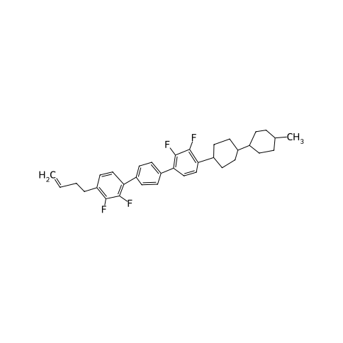 C=CCCc1ccc(-c2ccc(-c3ccc(C4CCC(C5CCC(C)CC5)CC4)c(F)c3F)cc2)c(F)c1F